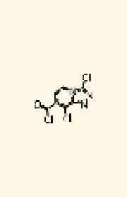 O=C(Cl)c1ccn2c(Cl)nnc2c1Cl